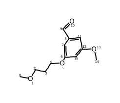 COCCCOc1cc(C=O)cc(OC)c1